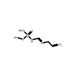 C=CC/N=C/NP(=S)(OC)SCCC